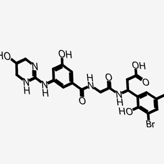 Cc1cc(Br)c(O)c(C(CC(=O)O)NC(=O)CNC(=O)c2cc(O)cc(NC3=NCC(O)CN3)c2)c1